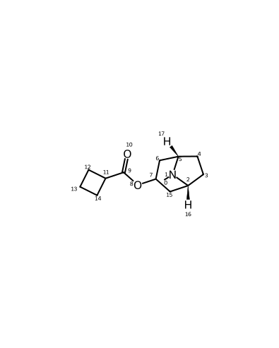 CN1[C@@H]2CC[C@H]1CC(OC(=O)C1CCC1)C2